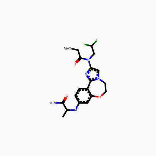 COCC(=O)N(CC(F)F)c1cn2c(n1)-c1ccc(NC(C)C(N)=O)cc1OCC2